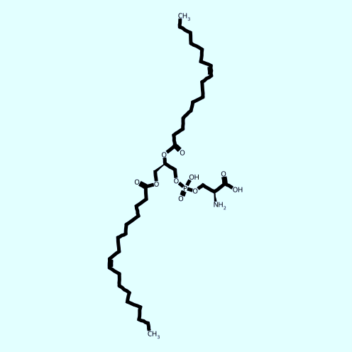 CCCCCC/C=C\CCCCCCCC(=O)O[C@H](COC(=O)CCCCCCC/C=C\CCCCCCCC)COP(=O)(O)OC[C@H](N)C(=O)O